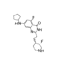 O=c1[nH]c(CS[C@@H]2CCNC[C@H]2F)nc2cc(NC3CCCC3)cc(F)c12